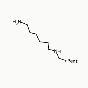 CCCCCCNCCCCCCN